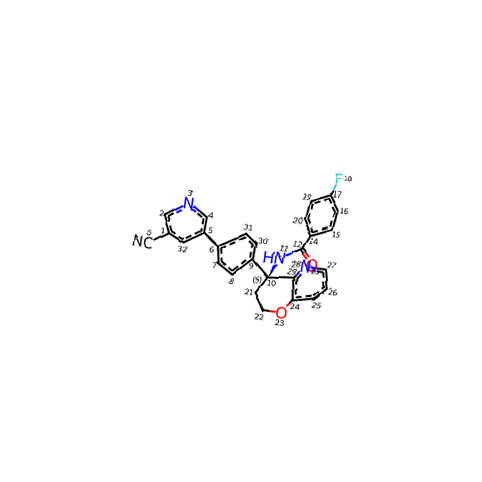 N#Cc1cncc(-c2ccc([C@@]3(NC(=O)c4ccc(F)cc4)CCOc4cccnc43)cc2)c1